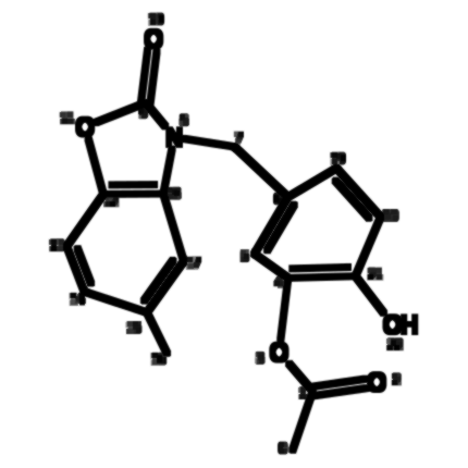 CC(=O)Oc1cc(Cn2c(=O)oc3ccc(C)cc32)ccc1O